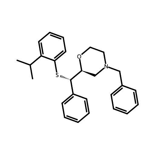 CC(C)c1ccccc1S[C@@H](c1ccccc1)[C@@H]1CN(Cc2ccccc2)CCO1